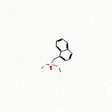 CCOP(=O)(Cc1cccc2ccccc12)OCC